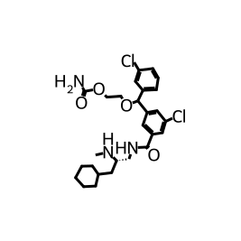 CN[C@H](CNC(=O)c1cc(Cl)cc(C(OCCOC(N)=O)c2cccc(Cl)c2)c1)CC1CCCCC1